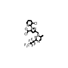 C=C1C=NC(C(F)(F)C(F)(F)C(F)(F)F)=NN1Cc1cc(C(=O)Cl)n(-c2ncccc2Cl)n1